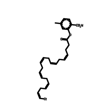 CC/C=C\C/C=C\C/C=C\C/C=C\C/C=C\C/C=C\CCC(=O)Oc1cc(C)ccc1C(=O)O